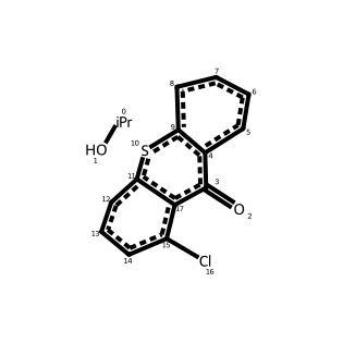 CC(C)O.O=c1c2ccccc2sc2cccc(Cl)c12